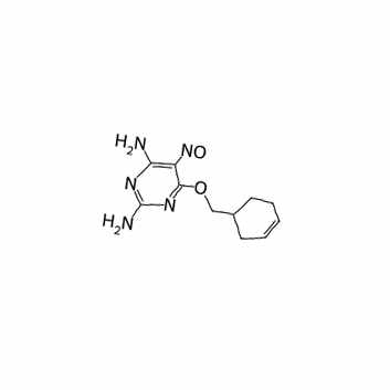 Nc1nc(N)c(N=O)c(OCC2CC=CCC2)n1